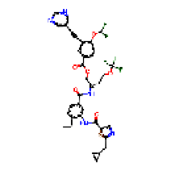 CCc1ccc(C(=O)N[C@@H](CCOC(F)(F)F)COC(=O)c2ccc(OC(F)F)c(C#Cc3cncnc3)c2)cc1NC(=O)c1cnc(CC2CC2)s1